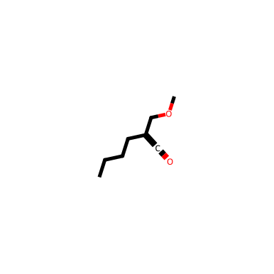 CCCCC(=C=O)COC